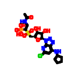 CC(=O)NCC(P(=O)(O)O)S(=O)(=O)C[C@H]1O[C@@H](n2nnc3c(NC4CCCC4)cc(Cl)nc32)[C@H](O)[C@@H]1O